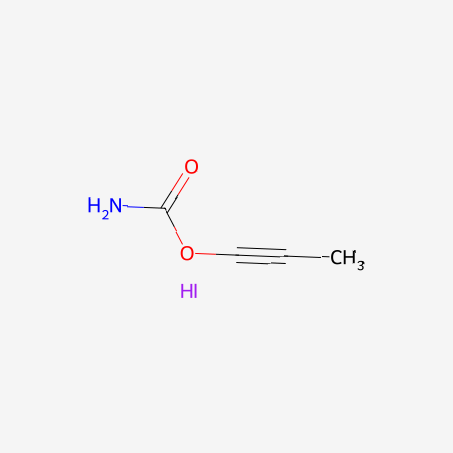 CC#COC(N)=O.I